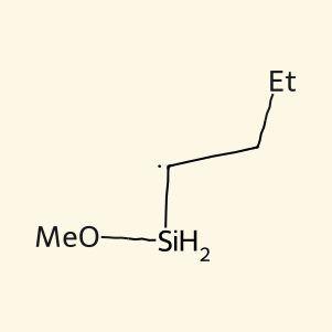 CCC[CH][SiH2]OC